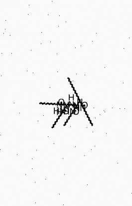 CCCCCCCCCCCCCCCCN(CCC(=O)NCCCCCCCCCCCC)CCN(CCNCCN(CCC(=O)NCCCCCCCCCCCC)CCC(=O)NCCCCCCCCCCCC)CCC(=O)NCCCCCCCCCC